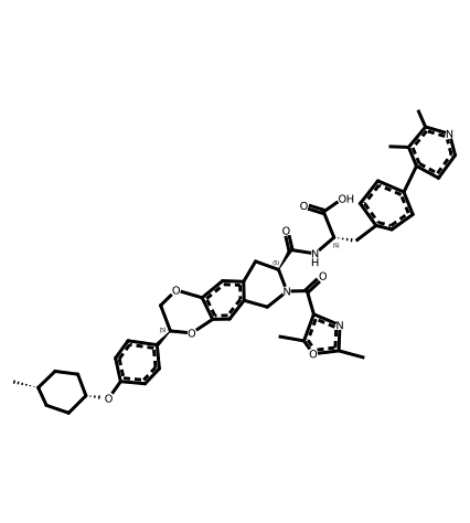 Cc1nc(C(=O)N2Cc3cc4c(cc3C[C@H]2C(=O)N[C@@H](Cc2ccc(-c3ccnc(C)c3C)cc2)C(=O)O)OC[C@H](c2ccc(O[C@H]3CC[C@@H](C)CC3)cc2)O4)c(C)o1